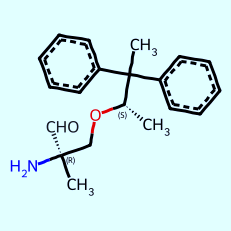 C[C@H](OC[C@@](C)(N)C=O)C(C)(c1ccccc1)c1ccccc1